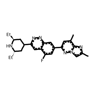 CC[C@H]1CC(c2cc3c(F)cc(-c4cc(C)c5nc(C)cn5n4)cc3nn2)C[C@H](CC)N1